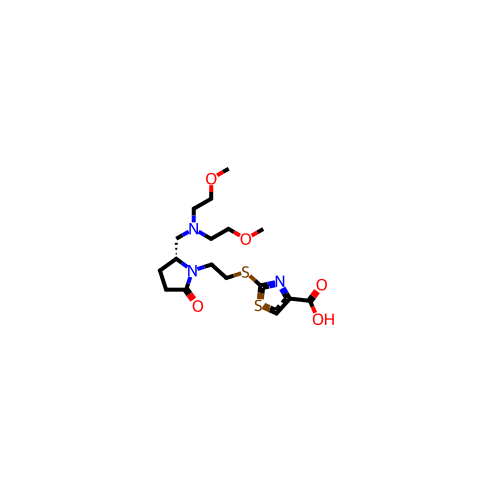 COCCN(CCOC)C[C@H]1CCC(=O)N1CCSc1nc(C(=O)O)cs1